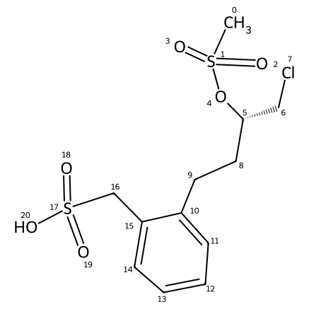 CS(=O)(=O)O[C@H](CCl)CCc1ccccc1CS(=O)(=O)O